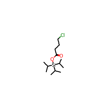 CC(C)[Si](OC(=O)CCCCl)(C(C)C)C(C)C